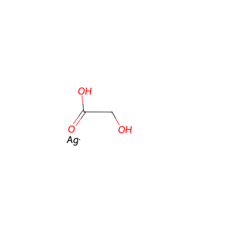 O=C(O)CO.[Ag]